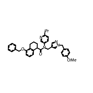 COc1ccc(Cn2cc(CN(C(=O)C3CCCc4c(OCc5ccccc5)cccc43)c3ccc(C(C)C)nc3)cn2)cc1